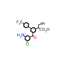 CC(C)CC(C(=O)O)c1cc(C(=O)c2cc(N)cc(Cl)c2)cc(-c2ccc(C(F)(F)F)cc2)c1